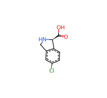 O=C(O)[C@@H]1NCc2cc(Cl)ccc21